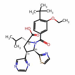 CCOc1cc(C(=O)N2[C@@H](c3nccs3)[C@@H](c3cnccn3)C[C@@]2(CC(C)C)C(=O)O)ccc1C(C)(C)C